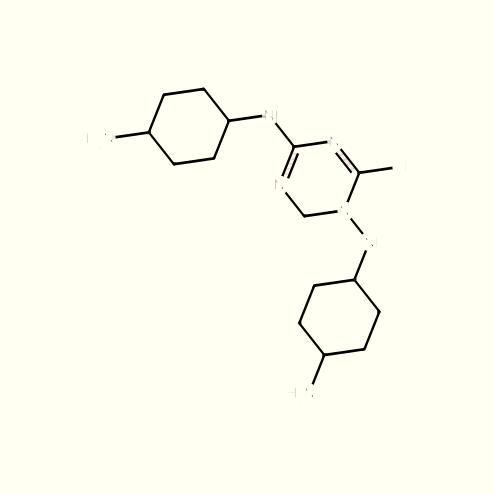 NC1CCC(NC2=NCN(NC3CCC(N)CC3)C(Cl)=N2)CC1